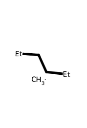 [CH2]CCCCC.[CH3]